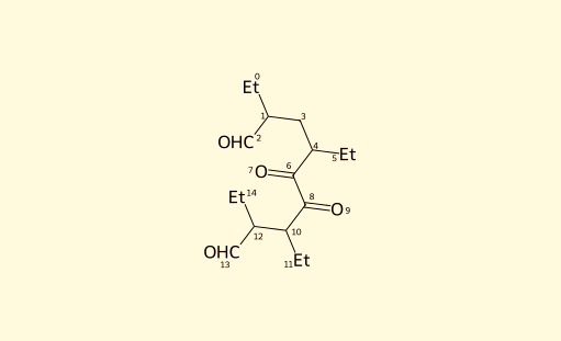 CCC(C=O)CC(CC)C(=O)C(=O)C(CC)C(C=O)CC